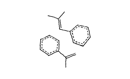 C=C(C)c1ccccc1.CC(C)=Cc1ccccc1